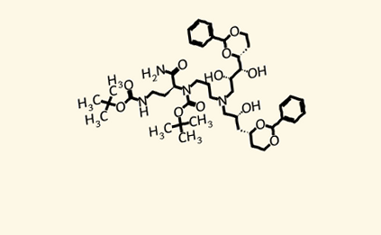 CC(C)(C)OC(=O)NCC[C@@H](C(N)=O)N(CCCN(C[C@H](O)C[C@H]1CCOC(c2ccccc2)O1)C[C@H](O)[C@@H](O)[C@H]1CCOC(c2ccccc2)O1)C(=O)OC(C)(C)C